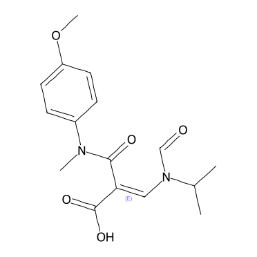 COc1ccc(N(C)C(=O)/C(=C\N(C=O)C(C)C)C(=O)O)cc1